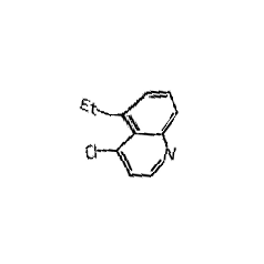 CCc1cccc2nccc(Cl)c12